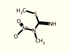 CSC(=N)N(C)[N+](=O)[O-]